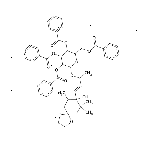 CC(/C=C/C1(O)C(C)CC2(CC1(C)C)OCCO2)OC1OC(COC(=O)c2ccccc2)C(OC(=O)c2ccccc2)C(OC(=O)c2ccccc2)C1OC(=O)c1ccccc1